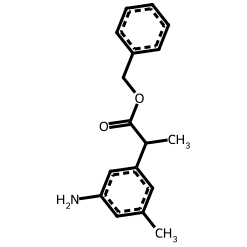 Cc1cc(N)cc(C(C)C(=O)OCc2ccccc2)c1